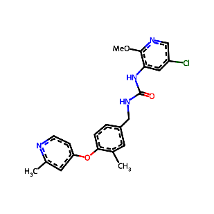 COc1ncc(Cl)cc1NC(=O)NCc1ccc(Oc2ccnc(C)c2)c(C)c1